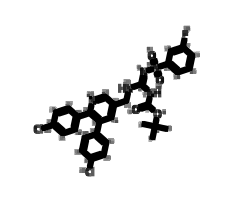 CC(C)(C)OC(=O)N/C(=N\S(=O)(=O)c1cccc(F)c1)NCc1cnc(-c2ccc(Cl)cc2)c(-c2ccc(Cl)cc2)c1